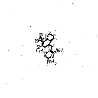 COc1cc(Cc2cnc(N)nc2N)c2cccnc2c1[N+](=O)[O-]